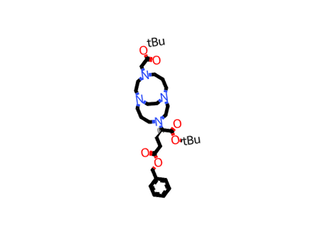 CC(C)(C)OC(=O)CN1CCCN2CCN(CCCN([C@H](CCC(=O)OCc3ccccc3)C(=O)OC(C)(C)C)CC2)CC1